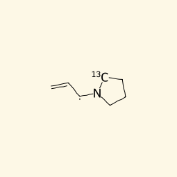 C=C[CH]N1CCC[13CH2]1